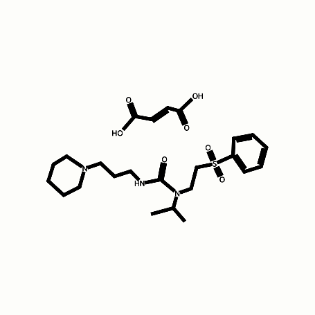 CC(C)N(CCS(=O)(=O)c1ccccc1)C(=O)NCCCN1CCCCC1.O=C(O)C=CC(=O)O